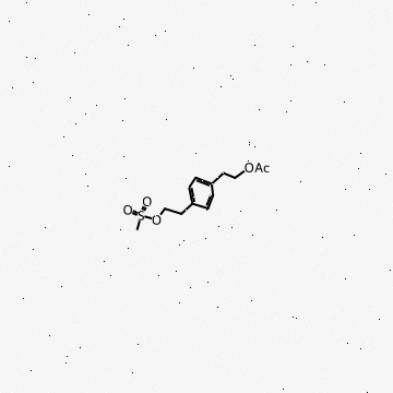 CC(=O)OCCc1ccc(CCOS(C)(=O)=O)cc1